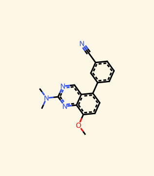 COc1ccc(-c2cccc(C#N)c2)c2cnc(N(C)C)nc12